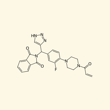 C=CC(=O)N1CCN(c2ccc(C(c3c[nH]nn3)N3C(=O)c4ccccc4C3=O)cc2F)CC1